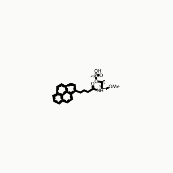 COC[C@H](NC(=O)CCCc1ccc2ccc3cccc4ccc1c2c34)[C@H](C)O[P@](C)(=O)O